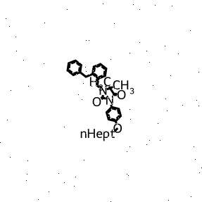 CCCCCCCOc1ccc(N2C(=O)N(Cc3ccccc3Cc3ccccc3)C(C)(C)C2=O)cc1